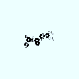 CC1CC(C)CN(c2nccc(Oc3ccc(NC(=O)c4cc(F)cc(N5CCOCC5)c4)c4ccccc34)n2)C1